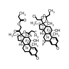 CCC(=O)OCC(=O)[C@@]1(OC(=O)CC)[C@@H](C)C[C@H]2[C@@H]3CCC4=CC(=O)C=C[C@]4(C)[C@@]3(F)[C@@H](O)C[C@@]21C.CCC(=O)O[C@]1(C(=O)CCl)[C@@H](C)C[C@H]2[C@@H]3C[C@H](F)C4=CC(=O)C=C[C@]4(C)[C@@]3(F)[C@@H](O)C[C@@]21C